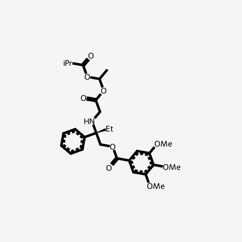 CC[C@](COC(=O)c1cc(OC)c(OC)c(OC)c1)(NCC(=O)OC(C)OC(=O)C(C)C)c1ccccc1